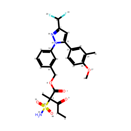 CCC(=O)C(C)(C(=O)OCc1cccc(-n2nc(C(F)F)cc2-c2ccc(OC)c(C)c2)c1)S(N)(=O)=O